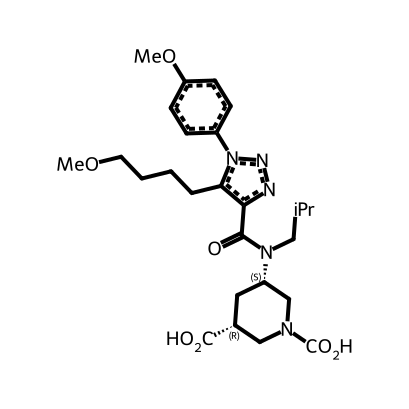 COCCCCc1c(C(=O)N(CC(C)C)[C@H]2C[C@@H](C(=O)O)CN(C(=O)O)C2)nnn1-c1ccc(OC)cc1